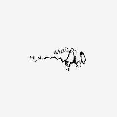 COC(=O)[C@H](CCCCCCCN)NC(=O)OC1CCCC1